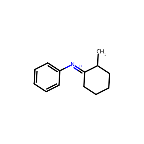 CC1CCCC/C1=N\c1ccccc1